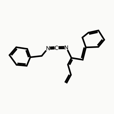 C=C/C=C(\C=C1\C=CC=CC1)N=C=NCc1ccccc1